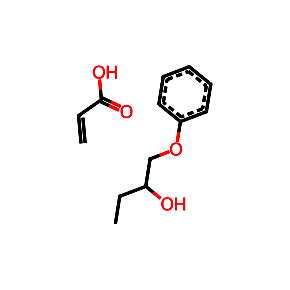 C=CC(=O)O.CCC(O)COc1ccccc1